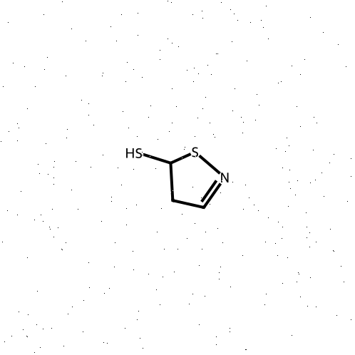 SC1CC=NS1